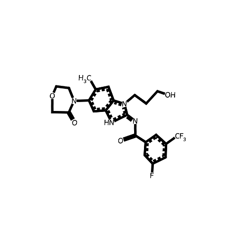 Cc1cc2c(cc1N1CCOCC1=O)[nH]/c(=N\C(=O)c1cc(F)cc(C(F)(F)F)c1)n2CCCO